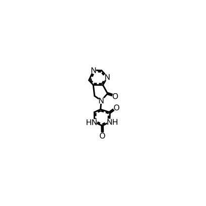 O=C1c2ncncc2CN1c1c[nH]c(=O)[nH]c1=O